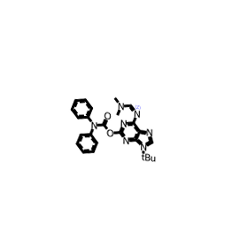 CN(C)/C=N\c1nc(OC(=O)N(c2ccccc2)c2ccccc2)nc2c1ncn2C(C)(C)C